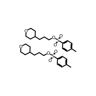 Cc1ccc(S(=O)(=O)OCCCC2CCOCC2)cc1.Cc1ccc(S(=O)(=O)OCCCC2CCOCC2)cc1